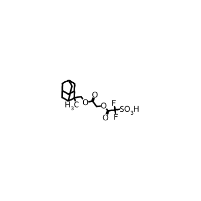 CC1(COC(=O)COC(=O)C(F)(F)S(=O)(=O)O)C2CC3CC(C2)CC1C3